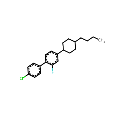 CCCCC1CCC(c2ccc(-c3ccc(Cl)cc3)c(F)c2)CC1